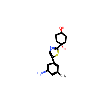 Cc1cc(N)cc(-c2cnc([C@]3(O)CC[C@@H](O)CC3)s2)c1